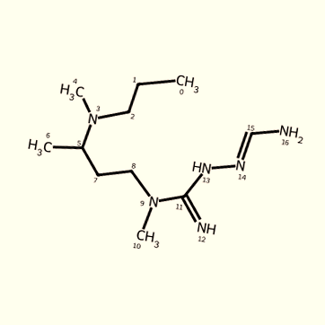 CCCN(C)C(C)CCN(C)C(=N)N/N=C/N